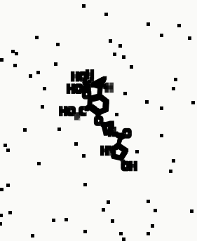 O=C(O)c1c(OC2CN(C(=O)[C@H]3C[C@H](O)CN3)C2)ccc2c1O[B-](O)(O)[C@H]1C[C@@H]21